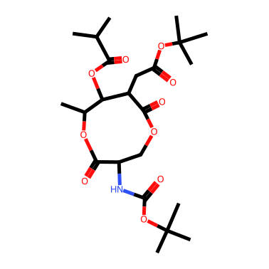 CC(C)C(=O)OC1C(C)OC(=O)C(NC(=O)OC(C)(C)C)COC(=O)C1CC(=O)OC(C)(C)C